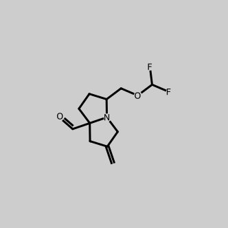 C=C1CN2C(COC(F)F)CCC2(C=O)C1